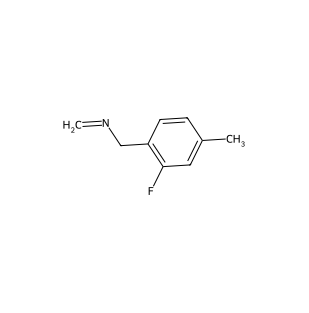 C=NCc1ccc(C)cc1F